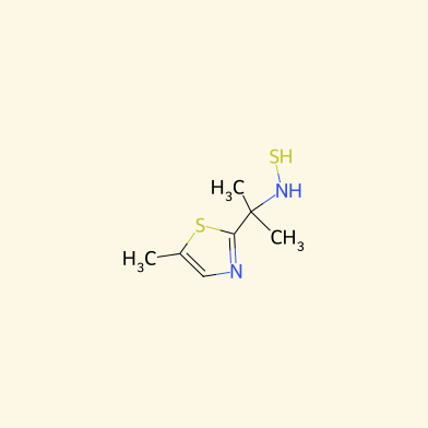 Cc1cnc(C(C)(C)NS)s1